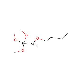 CCCCO[SiH2][Si](OC)(OC)OC